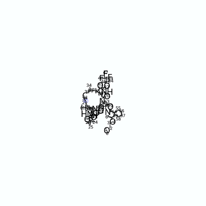 COCCOc1cnc(O[C@@H]2C[C@H]3C(=O)N[C@]4(C(=O)NS(=O)(=O)C5(C)CC5)C[C@H]4/C=C\CC[C@@H](C)C[C@@H](C)[C@H](NC(=O)OC(C)(C)C(F)(F)F)C(=O)N3C2)c2ccccc12